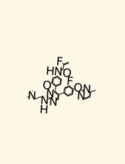 C=C(F)C(=O)Nc1ccc(-c2nc(NCCN(C)C)ncc2-c2ccc(Oc3nccc(C)n3)c(F)c2)c(OC)c1